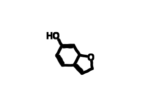 OC1=CC2OCC=C2C=C1